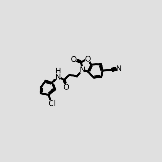 N#Cc1ccc2c(c1)oc(=O)n2CCC(=O)Nc1cccc(Cl)c1